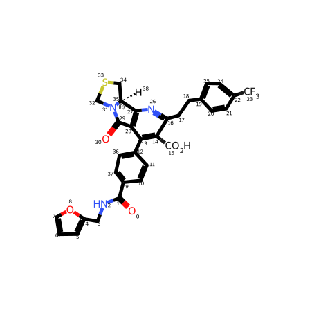 O=C(NCc1ccco1)c1ccc(-c2c(C(=O)O)c(CCc3ccc(C(F)(F)F)cc3)nc3c2C(=O)N2CSC[C@@H]32)cc1